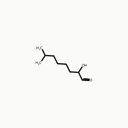 CC(C)CCCCC(O)[C]=O